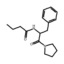 CCCC(=O)NC(Cc1ccccc1)C(=O)N1CCCC1